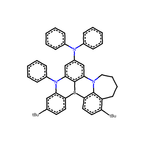 CC(C)(C)c1ccc2c(c1)N(c1ccccc1)c1cc(N(c3ccccc3)c3ccccc3)cc3c1B2c1ccc(C(C)(C)C)c2c1N3CCCC2